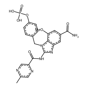 COc1cc(C(N)=O)cc2nc(NC(=O)c3cnc(C)cn3)n(Cc3ccc(OP(=O)(O)O)cc3)c12